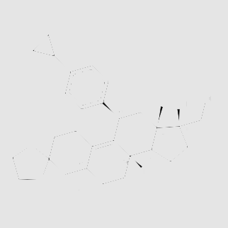 C[C@]12C[C@H](c3ccc(C4CC4)cc3)C3=C4CCC5(C[C@]4(O)CC[C@H]3[C@@H]1CC[C@@]2(O)CO)OCCO5